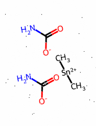 NC(=O)[O-].NC(=O)[O-].[CH3][Sn+2][CH3]